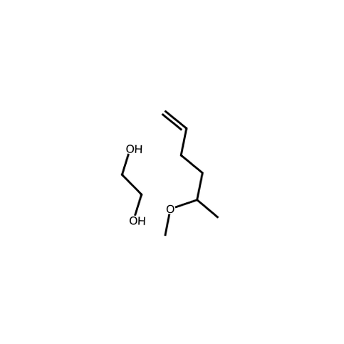 C=CCCC(C)OC.OCCO